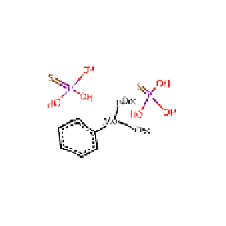 CCCCCCCCC[CH2][Mo]([CH2]CCCCCCCCC)[c]1ccccc1.OP(O)(O)=S.OP(O)(O)=S